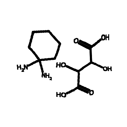 NC1(N)CCCCC1.O=C(O)C(O)C(O)C(=O)O